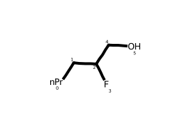 CCCCC(F)CO